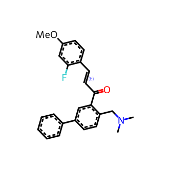 COc1ccc(/C=C/C(=O)c2cc(-c3ccccc3)ccc2CN(C)C)c(F)c1